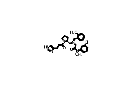 Cc1ccccc1CN(CC(=O)N(C)c1cccc(Cl)c1)C[C@@H]1CCCN1C(=O)CCc1c[nH]cn1